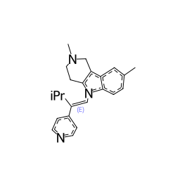 Cc1ccc2c(c1)c1c(n2/C=C(/c2ccncc2)C(C)C)CCN(C)C1